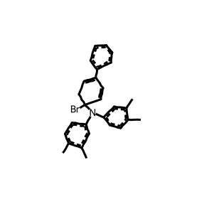 Cc1ccc(N(c2ccc(C)c(C)c2)C2(Br)C=CC(c3ccccc3)=CC2)cc1C